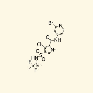 C[C@@H](NS(=O)(=O)c1cn(C)c(C(=O)Nc2ccnc(Br)c2)c1Cl)C(C)(F)F